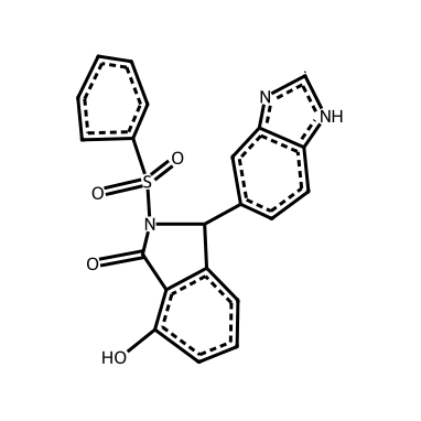 O=C1c2c(O)cccc2C(c2ccc3[nH][c]nc3c2)N1S(=O)(=O)c1ccccc1